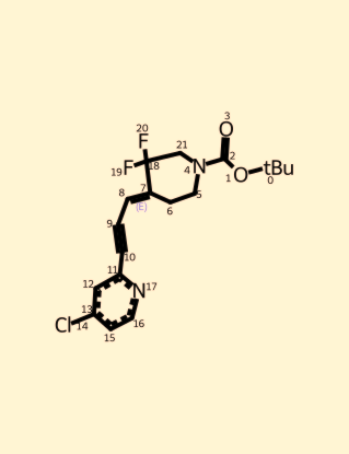 CC(C)(C)OC(=O)N1CC/C(=C\C#Cc2cc(Cl)ccn2)C(F)(F)C1